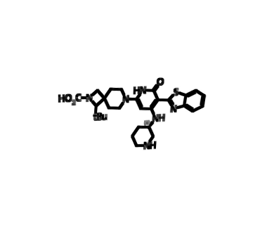 CC(C)(C)C1N(C(=O)O)CC12CCN(c1cc(N[C@@H]3CCCNC3)c(-c3nc4ccccc4s3)c(=O)[nH]1)CC2